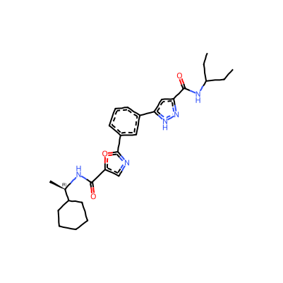 CCC(CC)NC(=O)c1cc(-c2cccc(-c3ncc(C(=O)N[C@H](C)C4CCCCC4)o3)c2)[nH]n1